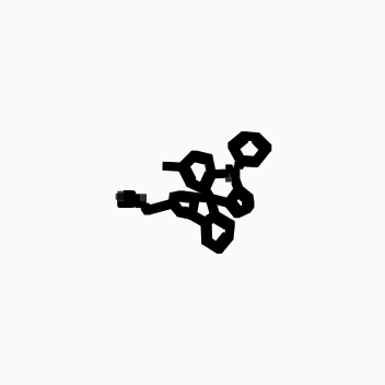 Cc1ccc2c(c1)C1(c3ccccc3-c3cc(CC(C)(C)C)ccc31)c1ccccc1N2c1ccccc1